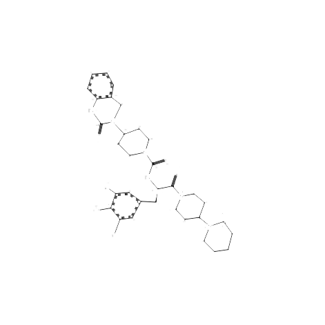 O=C(O)[C@@H]1CCCCN1C1CCN(C(=O)[C@@H](Cc2cc(Br)c(O)c(Br)c2)NC(=O)N2CCC(N3Cc4ccccc4NC3=O)CC2)CC1